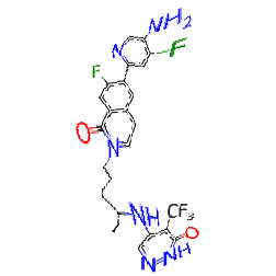 C[C@@H](CCCn1ccc2cc(-c3cc(F)c(N)cn3)c(F)cc2c1=O)Nc1cn[nH]c(=O)c1C(F)(F)F